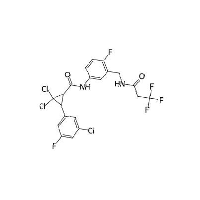 O=C(CC(F)(F)F)NCc1cc(NC(=O)C2C(c3cc(F)cc(Cl)c3)C2(Cl)Cl)ccc1F